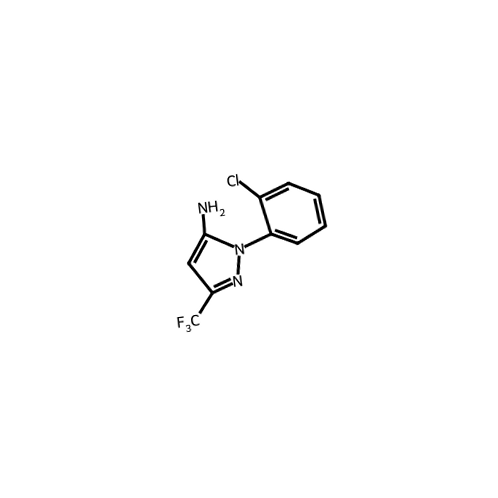 Nc1cc(C(F)(F)F)nn1-c1ccccc1Cl